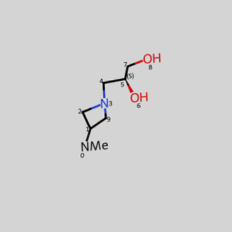 CNC1CN(C[C@H](O)CO)C1